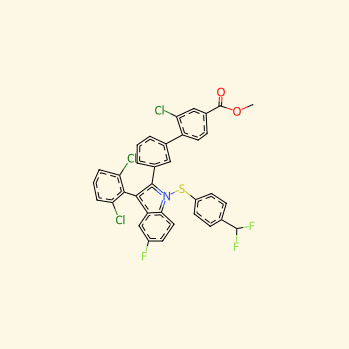 COC(=O)c1ccc(-c2cccc(-c3c(-c4c(Cl)cccc4Cl)c4cc(F)ccc4n3Sc3ccc(C(F)F)cc3)c2)c(Cl)c1